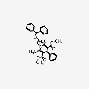 COC(=O)C1=C(C)N(CCOC(c2ccccc2)c2ccccc2)C(C)=C(C(=O)OC)C1c1ccccc1